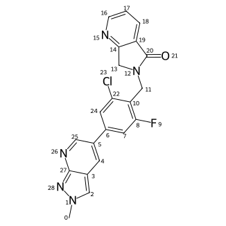 Cn1cc2cc(-c3cc(F)c(CN4Cc5ncccc5C4=O)c(Cl)c3)cnc2n1